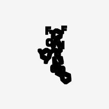 Cc1cc(C)cc(-c2c(N3CCN(S(=O)(=O)Cc4ccccc4)CC3)cnn(-c3cc(F)cc(F)c3)c2=O)c1